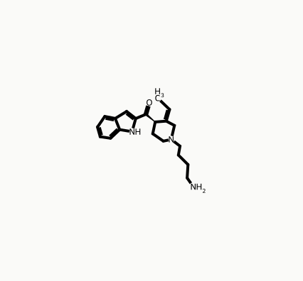 C/C=C1/CN(CCCCN)CC[C@H]1C(=O)c1cc2ccccc2[nH]1